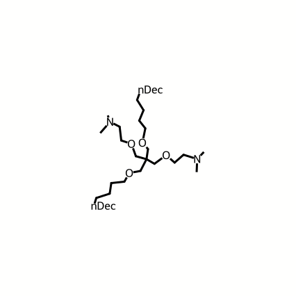 CCCCCCCCCCCCCCOCC(COCCCCCCCCCCCCCC)(COCCN(C)C)COCCN(C)C